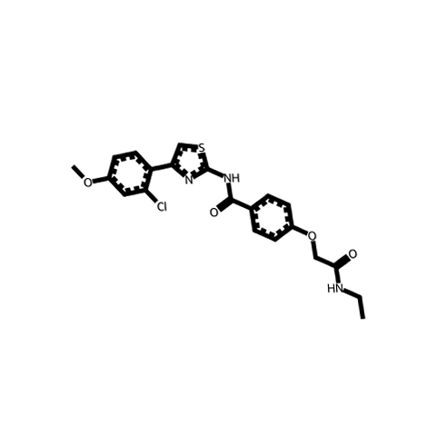 CCNC(=O)COc1ccc(C(=O)Nc2nc(-c3ccc(OC)cc3Cl)cs2)cc1